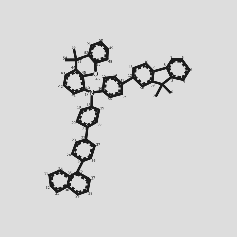 CC1(C)c2ccccc2-c2ccc(-c3ccc(N(c4ccc(-c5ccc(-c6cccc7ccccc67)cc5)cc4)c4cccc5c4Oc4ccccc4C5(C)C)cc3)cc21